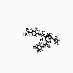 Cc1c(C(=O)O)ccc2c1CC[C@@H]2NC(=O)c1cc(C(=O)NCc2ccc(F)c(F)c2)nc2c(-c3cccs3)cnn12